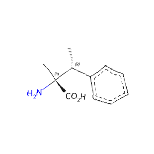 C[C@H](c1ccccc1)[C@@](C)(N)C(=O)O